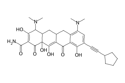 CN(C)c1cc(C#CC2CCCC2)c(O)c2c1CC1CC3C(N(C)C)C(O)=C(C(N)=O)C(=O)C3(O)C(O)=C1C2=O